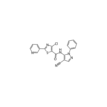 N#Cc1cnn(-c2ccccc2)c1NC(=O)c1sc(-c2cccnc2)nc1Cl